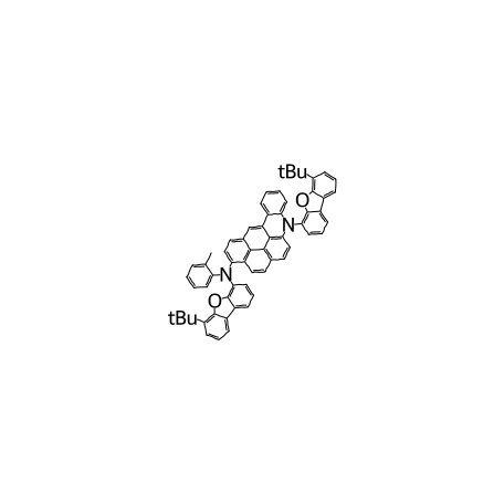 Cc1ccccc1N(c1ccc2cc3c4c(ccc5ccc1c2c54)N(c1cccc2c1oc1c(C(C)(C)C)cccc12)c1ccccc1-3)c1cccc2c1oc1c(C(C)(C)C)cccc12